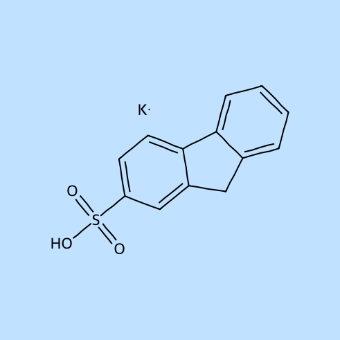 O=S(=O)(O)c1ccc2c(c1)Cc1ccccc1-2.[K]